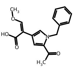 COC=C(C(=O)O)c1cc(C(C)=O)n(Cc2ccccc2)c1